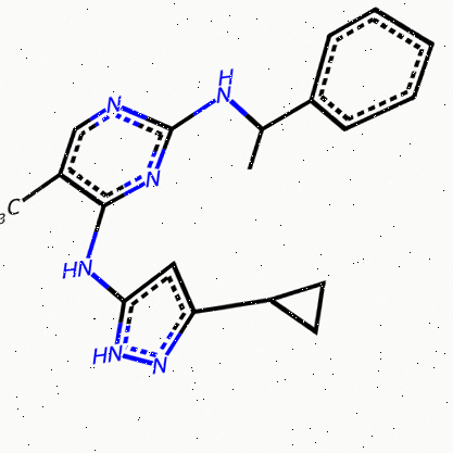 CC(Nc1ncc(C(F)(F)F)c(Nc2cc(C3CC3)n[nH]2)n1)c1ccccc1